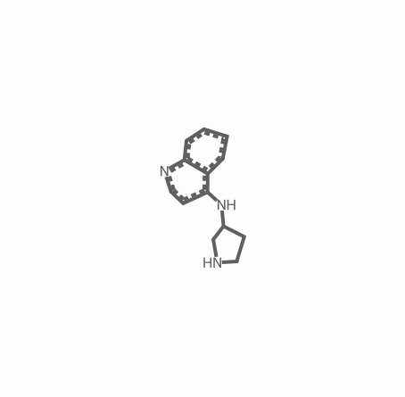 c1ccc2c(NC3CCNC3)ccnc2c1